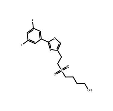 O=S(=O)(CCCCO)CCc1csc(-c2cc(F)cc(F)c2)n1